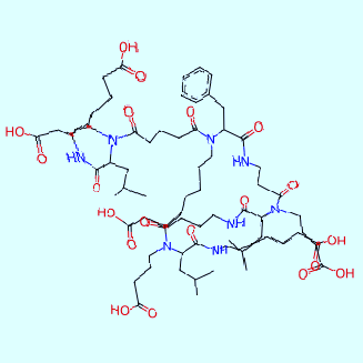 CC(C)CC(C(=O)NCCCCCC(=O)O)N(CCCC(=O)O)C(=O)CCCCCN(C(=O)CCCC(=O)N(CCCC(=O)O)C(CC(C)C)C(=O)NCCCCCC(=O)O)C(Cc1ccccc1)C(=O)NCCC(=O)N(CCCC(=O)O)C(CC(C)C)C(=O)NCCCCCC(=O)O